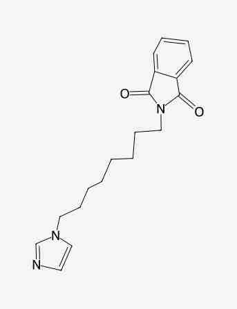 O=C1c2ccccc2C(=O)N1CCCCCCCCn1ccnc1